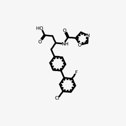 O=C(O)CC(Cc1ccc(-c2cc(Cl)ccc2F)cc1)NC(=O)c1cnco1